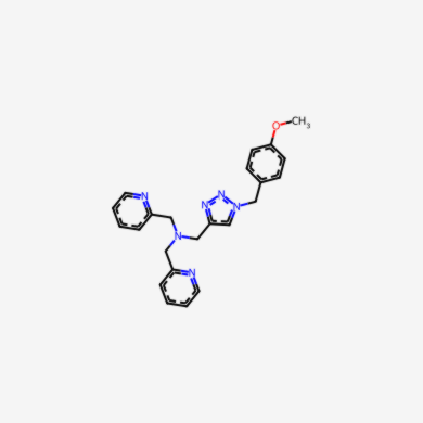 COc1ccc(Cn2cc(CN(Cc3ccccn3)Cc3ccccn3)nn2)cc1